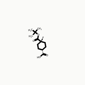 CC(C)(C)OC(=O)[C@]1(F)CC[C@H](C(=O)O)CC1